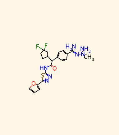 CN(N)/N=C(\N)c1ccc(C(C(=O)Nc2nnc(-c3ccco3)s2)C2CCC(F)(F)C2)cc1